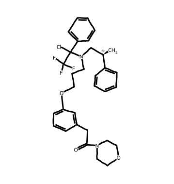 C[C@H](CN(CCCOc1cccc(CC(=O)N2CCOCC2)c1)C(Cl)(c1ccccc1)C(F)(F)F)c1ccccc1